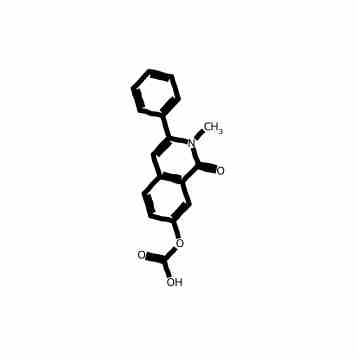 Cn1c(-c2ccccc2)cc2ccc(OC(=O)O)cc2c1=O